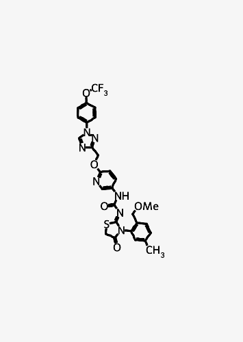 COCc1ccc(C)cc1N1C(=O)CSC1=NC(=O)Nc1ccc(OCc2ncn(-c3ccc(OC(F)(F)F)cc3)n2)nc1